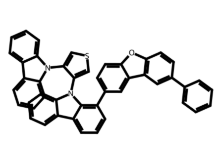 c1ccc(-c2ccc3oc4ccc(-c5cccc6c7ccccc7n(-c7cscc7-n7c8ccccc8c8ccccc87)c56)cc4c3c2)cc1